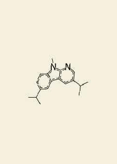 CC(C)c1ccc2c(c1)c1cc(C(C)C)cnc1n2C